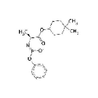 C[C@H](N=[P+]([O-])Oc1ccccc1)C(=O)OC1CCC(C)(C)CC1